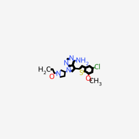 C=CC(=O)N1CC[C@H](n2cc(-c3cc4cc(Cl)cc(OC)c4s3)c3c(N)ncnc32)C1